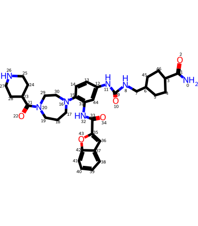 NC(=O)C1CCC(CNC(=O)Nc2ccc(N3CCCN(C(=O)C4CCNCC4)CC3)c(NC(=O)c3cc4ccccc4o3)c2)CC1